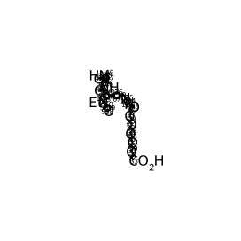 CCN(c1cc(-c2ccc(CN3CCN(C(=O)CCOCCOCCOCCOCCOCCC(=O)O)CC3)cc2)cc(C(=O)NCc2c(C)cc(C)[nH]c2=O)c1C)C1CCOCC1